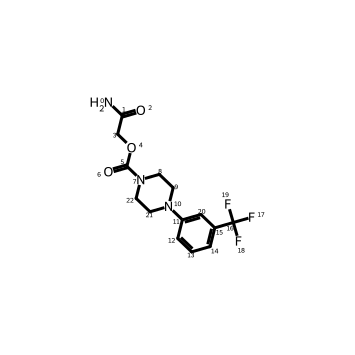 NC(=O)COC(=O)N1CCN(c2cccc(C(F)(F)F)c2)CC1